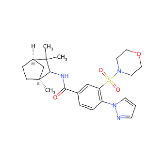 CC1(C)C(NC(=O)c2ccc(-n3cccn3)c(S(=O)(=O)N3CCOCC3)c2)[C@@]2(C)CC[C@@H]1C2